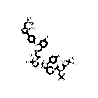 C[C@H](NCc1ccc(Cl)cc1Oc1ccc(-c2cnc(CN(C)C)n2C)cc1)C(=O)N1[C@H](C(=O)N[C@@]2(Cc3ccc(Cl)cc3)CCCN(C(=O)[C@@H](CC(=O)OC(C)(C)C)CC(F)(F)F)C2)COC1(C)C